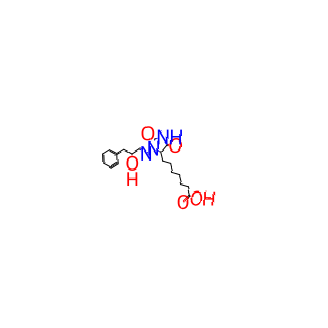 O=C(O)CCCCCCC1C(=O)NC(=O)N1N=CC(O)Cc1ccccc1